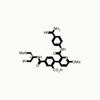 CNC[C@H](CC(C)C)NC(=O)c1ccc(-c2ccc(OC)nc2C(=O)Nc2ccc(C(=N)N)cc2)c(C(=O)O)c1